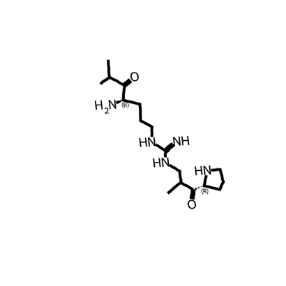 CC(C)C(=O)[C@H](N)CCCNC(=N)NCC(C)C(=O)[C@H]1CCCN1